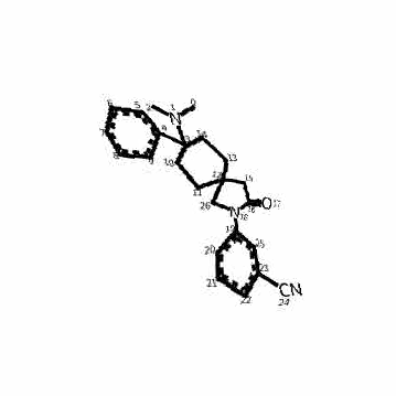 CN(C)C1(c2ccccc2)CCC2(CC1)CC(=O)N(c1cccc(C#N)c1)C2